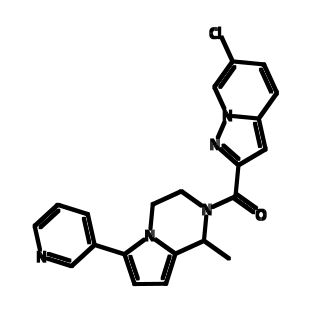 CC1c2ccc(-c3cccnc3)n2CCN1C(=O)c1cc2ccc(Cl)cn2n1